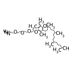 Cc1c(C)c2c(c(C)c1OCCOCCOCCOCCN=[N+]=[N-])CCC(C)(CCCC(C)CCCC(C)CCCC(C)C)O2